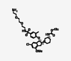 COc1cc(Cl)cc2c1C[C@H](N1CCC[C@@H](NC(=O)OC(C)(C)C)C1)[C@H]2Oc1ccc(S(=O)(=O)NCCOCCOCCN)cc1C